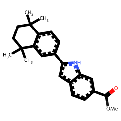 COC(=O)c1ccc2cc(-c3ccc4c(c3)C(C)(C)CCC4(C)C)[nH]c2c1